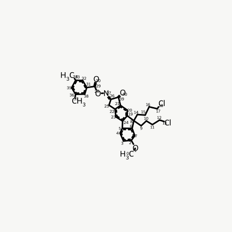 COc1ccc2c(c1)C(CCCCCl)(CCCCCl)c1cc3c(cc1-2)C/C(=N\OC(=O)c1cc(C)cc(C)c1)C3=O